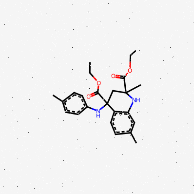 CCOC(=O)C1(C)CC(Nc2ccc(C)cc2)(C(=O)OCC)c2ccc(C)cc2N1